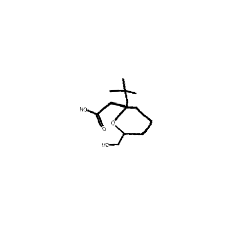 CC(C)(C)C1(CC(=O)O)CCCC(CO)O1